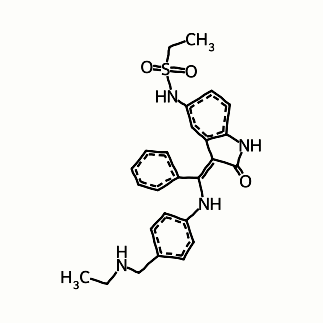 CCNCc1ccc(N/C(=C2\C(=O)Nc3ccc(NS(=O)(=O)CC)cc32)c2ccccc2)cc1